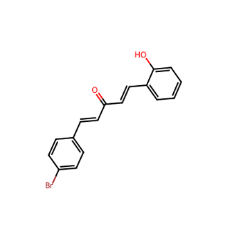 O=C(C=Cc1ccc(Br)cc1)C=Cc1ccccc1O